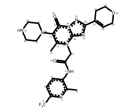 Cc1nc(C(F)(F)F)ccc1NC(=O)Cn1c(C)c(N2CCNCC2)c(=O)n2nc(C3=CCOCC3)nc12